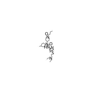 CCCC(=O)N1CCC(N(C(=O)Nc2ncc(SCCN(CC)CC)s2)C2CCC(C)CC2)CC1